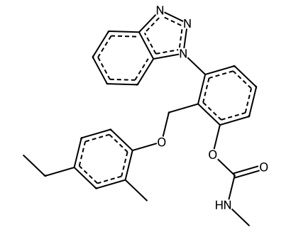 CCc1ccc(OCc2c(OC(=O)NC)cccc2-n2nnc3ccccc32)c(C)c1